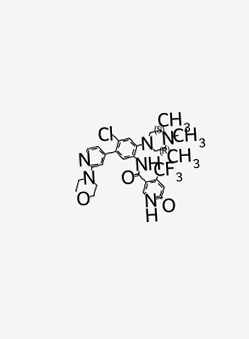 C[C@@H]1CN(c2cc(Cl)c(-c3ccnc(N4CCOCC4)c3)cc2NC(=O)c2c[nH]c(=O)cc2C(F)(F)F)C[C@H](C)N1C